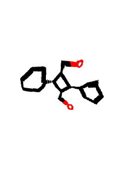 O=C[C@H]1[C@H](c2ccccc2)[C@@H](C=O)[C@H]1c1ccccc1